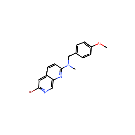 COc1ccc(CN(C)c2ccc3cc(Br)ncc3n2)cc1